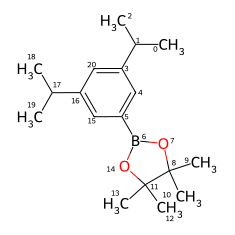 CC(C)c1cc(B2OC(C)(C)C(C)(C)O2)cc(C(C)C)c1